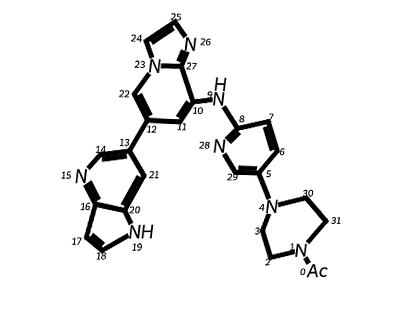 CC(=O)N1CCN(c2ccc(Nc3cc(-c4cnc5cc[nH]c5c4)cn4ccnc34)nc2)CC1